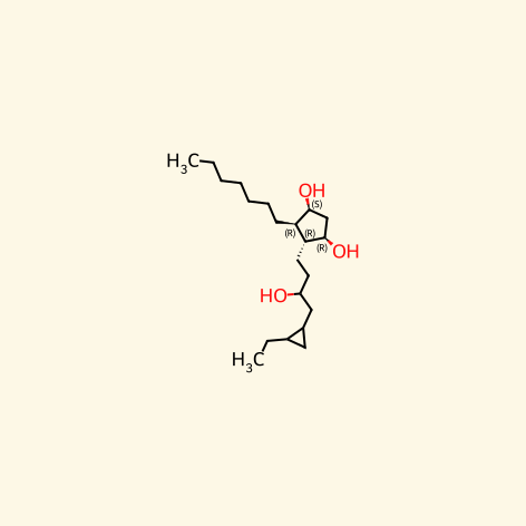 CCCCCCC[C@@H]1[C@@H](CCC(O)CC2CC2CC)[C@H](O)C[C@@H]1O